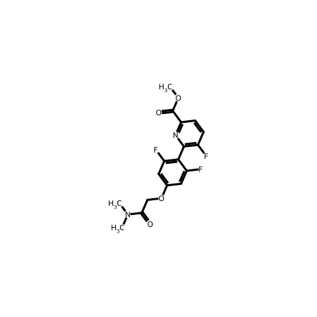 COC(=O)c1ccc(F)c(-c2c(F)cc(OCC(=O)N(C)C)cc2F)n1